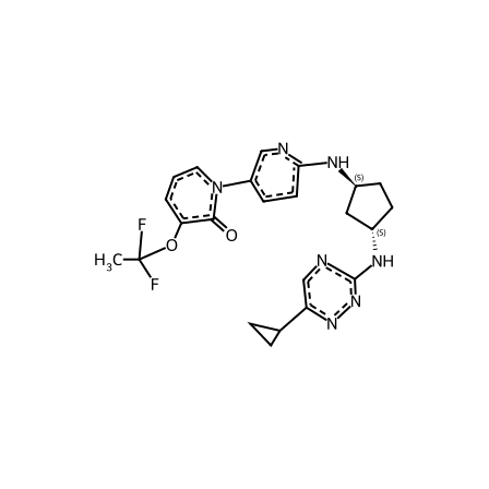 CC(F)(F)Oc1cccn(-c2ccc(N[C@H]3CC[C@H](Nc4ncc(C5CC5)nn4)C3)nc2)c1=O